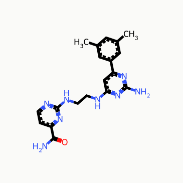 Cc1cc(C)cc(-c2cc(NCCNc3nccc(C(N)=O)n3)nc(N)n2)c1